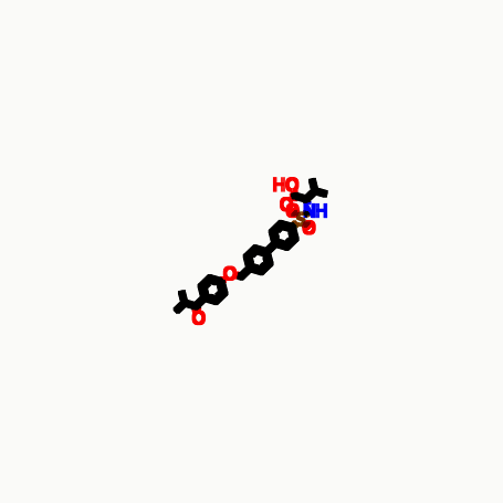 CC(C)C(=O)c1ccc(OCc2ccc(-c3ccc(S(=O)(=O)NC(C(=O)O)C(C)C)cc3)cc2)cc1